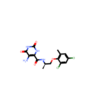 Cc1cc(Cl)cc(Cl)c1OC[C@@H](C)NC(=O)c1[nH]c(=O)[nH]c(=O)c1N